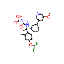 COc1cncc(-c2cccc(C3(c4ccc(OC(F)F)cc4C)COC(N)=N3)c2)c1.O=CO